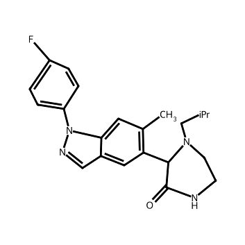 Cc1cc2c(cnn2-c2ccc(F)cc2)cc1C1C(=O)NCCN1CC(C)C